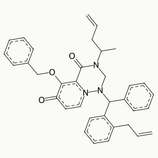 C=CCc1ccccc1C(c1ccccc1)N1CN(C(C)CC=C)C(=O)c2c(OCc3ccccc3)c(=O)ccn21